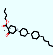 CCCCC[C@H]1CC[C@H](C2CCC([C@@H]3CC[C@](C)(C(=O)OCCCC)C(=O)C3)CC2)CC1